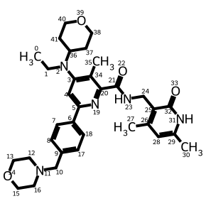 CCN(c1cc(-c2ccc(CN3CCOCC3)cc2)nc(C(=O)NCc2c(C)cc(C)[nH]c2=O)c1C)C1CCOCC1